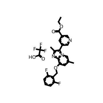 CCOC(=O)c1cncc(-c2c(C)nc3c(OCc4c(F)cccc4F)cc(C)cn23)c1.O=C(O)C(F)(F)F